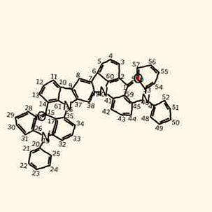 O=c1c2cccc3c4cc5c6cccc7c(=O)c8c(N(c9ccccc9)c9ccccc9)cccc8n(c5cc4n(c4cccc(N(c5ccccc5)c5ccccc5)c14)c23)c76